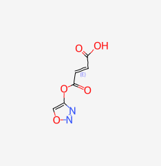 O=C(O)/C=C/C(=O)Oc1conn1